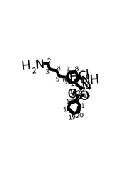 Cl.NCCCCc1ccc2[nH]nc(S(=O)(=O)c3ccccc3)c2c1